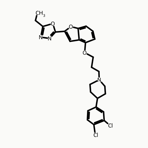 CCc1nnc(-c2cc3c(OCCCN4CCC(c5ccc(Cl)c(Cl)c5)CC4)cccc3o2)o1